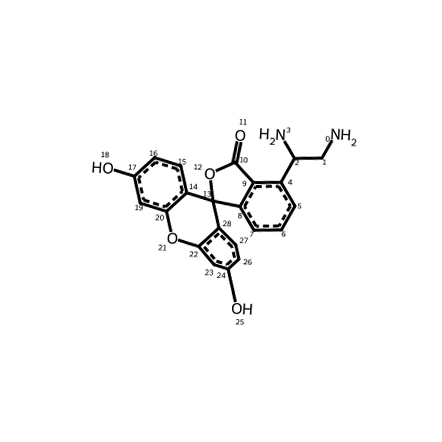 NCC(N)c1cccc2c1C(=O)OC21c2ccc(O)cc2Oc2cc(O)ccc21